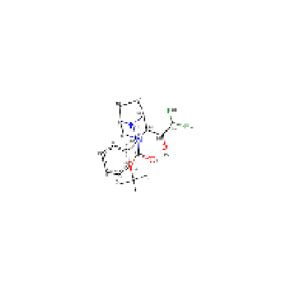 CC(C)(C)OC(=O)N1CC2CCC(C1C(=O)C(F)F)N2Cc1ccccc1